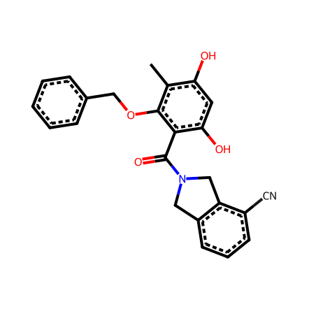 Cc1c(O)cc(O)c(C(=O)N2Cc3cccc(C#N)c3C2)c1OCc1ccccc1